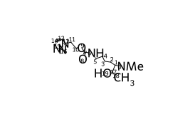 CNC(CCCCNC(=O)OCCn1c#cnn1)C(C)O